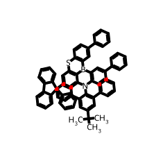 CC(C)(C)c1cc(-c2ccccc2)c(N2c3ccc(-c4ccccc4)cc3B3c4cc(-c5ccccc5)ccc4Sc4cc(C5(c6ccccc6)c6ccccc6-c6ccccc65)cc2c43)c(-c2ccccc2)c1